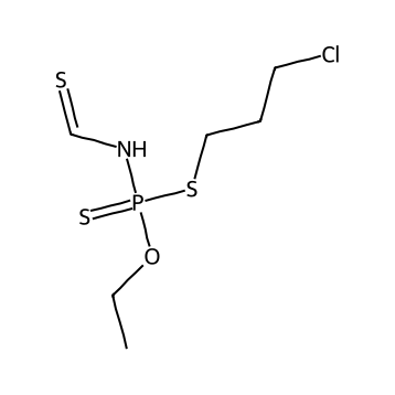 CCOP(=S)(NC=S)SCCCCl